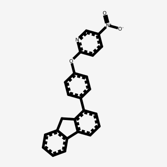 O=[N+]([O-])c1ccc(Oc2ccc(-c3cccc4c3Cc3ccccc3-4)cc2)nc1